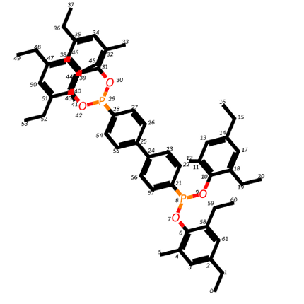 CCc1cc(C)c(OP(Oc2c(C)cc(CC)cc2CC)c2ccc(-c3ccc(P(Oc4c(C)cc(CC)cc4CC)Oc4c(C)cc(CC)cc4CC)cc3)cc2)c(CC)c1